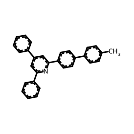 Cc1ccc(-c2ccc(-c3cc(-c4ccccc4)cc(-c4ccccc4)n3)cc2)cc1